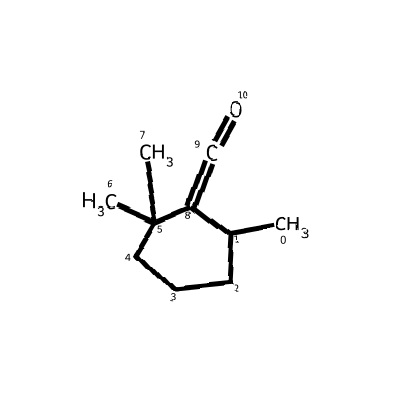 CC1CCCC(C)(C)C1=C=O